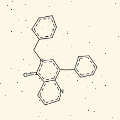 O=c1c2cccnc2c(-c2ccccc2)cn1Cc1ccccc1